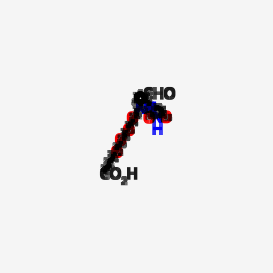 CN(Cc1c(C=O)cccc1NCCOCCOCCOCCOCCCCCC(=O)O)C1CCC(=O)NC1=O